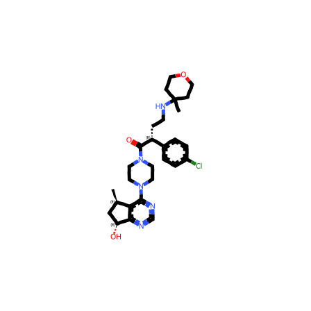 C[C@@H]1C[C@@H](O)c2ncnc(N3CCN(C(=O)[C@H](CCNC4(C)CCOCC4)c4ccc(Cl)cc4)CC3)c21